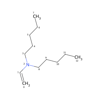 C=CN(CCCCC)CCCCC